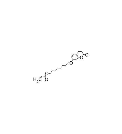 C=CC(=O)OCCCCCCCCOc1ccc2ccc(=O)oc2c1